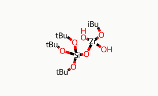 CCC(C)[O][Zr]([OH])([OH])[O][Si](OC(C)(C)C)(OC(C)(C)C)OC(C)(C)C